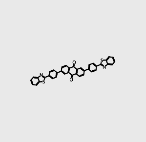 O=C1c2ccc(-c3ccc(-c4nc5ccccc5s4)cc3)cc2C(=O)c2ccc(-c3ccc(-c4nc5ccccc5s4)cc3)cc21